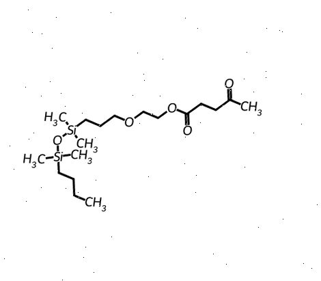 CCCC[Si](C)(C)O[Si](C)(C)CCCOCCOC(=O)CCC(C)=O